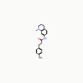 CN1CCCc2ccc(NC(=O)CCc3ccc(C(C)(C)C)cc3)cc21